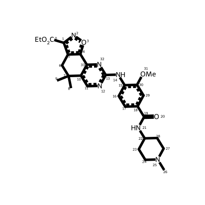 CCOC(=O)c1noc2c1CC(C)(C)c1cnc(Nc3ccc(C(=O)NC4CCN(C)CC4)cc3OC)nc1-2